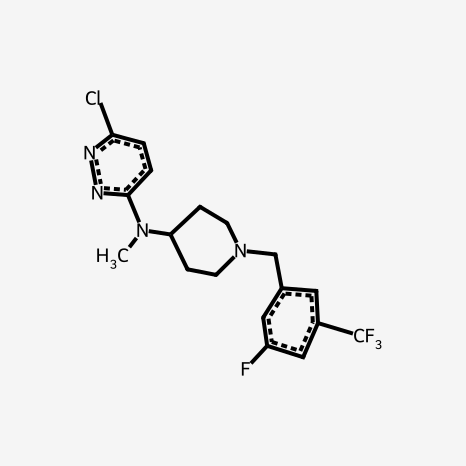 CN(c1ccc(Cl)nn1)C1CCN(Cc2cc(F)cc(C(F)(F)F)c2)CC1